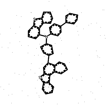 c1ccc(-c2ccc(N(c3ccc(-c4cc5sc6ccccc6c5c5ccccc45)cc3)c3cccc4sc5ccccc5c34)cc2)cc1